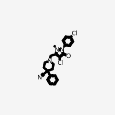 Cn1c(CN2CCC(C#N)(c3ccccc3)CC2)c(Cl)c(=O)n1-c1ccc(Cl)cc1